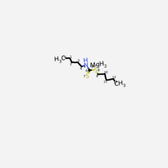 CCCCCNC(=S)SCCCCC.[MgH2]